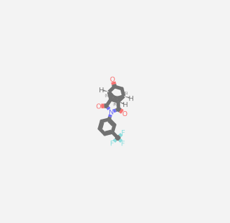 O=C1C[C@@H]2CC[C@H]1C1C(=O)N(c3cccc(C(F)(F)F)c3)C(=O)[C@@H]12